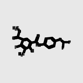 COC(=O)c1cc(C(=O)Nc2ccc(OC(F)F)cc2)c(Cl)c(C)c1F